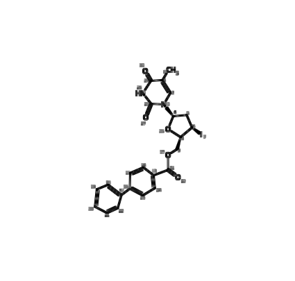 Cc1cn([C@H]2C[C@@H](I)[C@@H](COC(=O)c3ccc(-c4ccccc4)cc3)O2)c(=O)[nH]c1=O